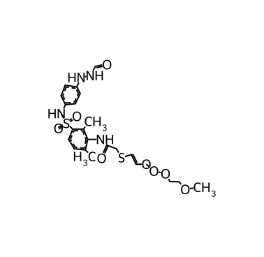 COCCOOO/C=C/SCC(=O)Nc1c(C)ccc(S(=O)(=O)Nc2ccc(NNC=O)cc2)c1C